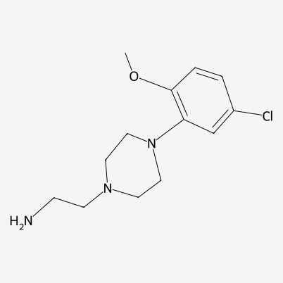 COc1ccc(Cl)cc1N1CCN(CCN)CC1